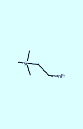 CCCC[CH][Si](C)(C)C